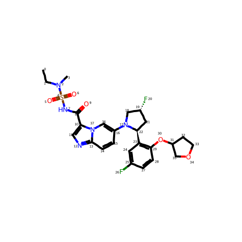 CCN(C)S(=O)(=O)NC(=O)c1cnc2ccc(N3C[C@H](F)C[C@H]3c3cc(F)ccc3OC3CCOC3)cn12